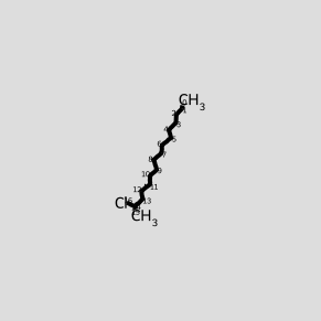 CCCCCCCCCCC[CH]CCC(C)Cl